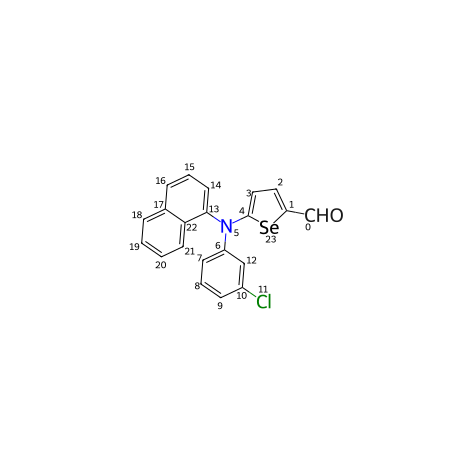 O=Cc1ccc(N(c2cccc(Cl)c2)c2cccc3ccccc23)[se]1